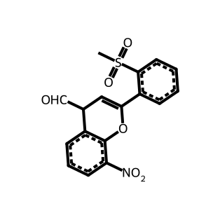 CS(=O)(=O)c1ccccc1C1=CC(C=O)c2cccc([N+](=O)[O-])c2O1